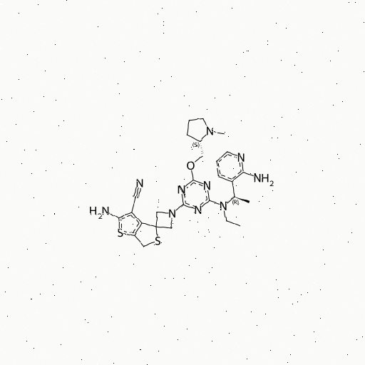 CCN(c1nc(OC[C@@H]2CCCN2C)nc(N2CC3(C2)SCc2sc(N)c(C#N)c23)n1)[C@H](C)c1cccnc1N